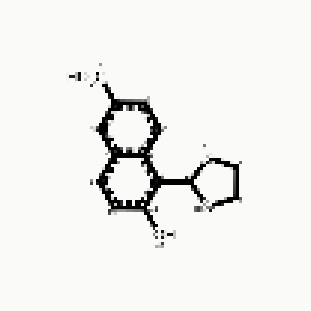 O=C(O)c1ccc2c(C3SCCS3)c(O)ccc2c1